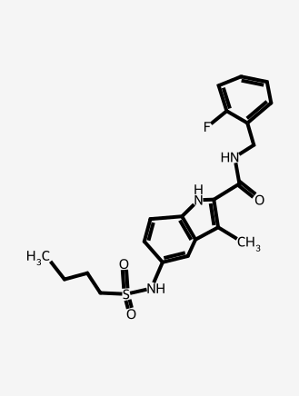 CCCCS(=O)(=O)Nc1ccc2[nH]c(C(=O)NCc3ccccc3F)c(C)c2c1